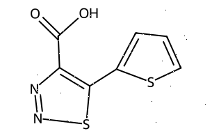 O=C(O)c1nnsc1-c1cccs1